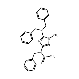 CC(=O)N(Cc1ccccc1)c1nc(N(Cc2ccccc2)Cc2ccccc2)n(C)n1